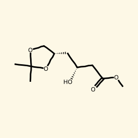 COC(=O)C[C@H](O)C[C@H]1COC(C)(C)O1